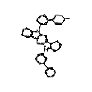 CC1C=CC(c2cccc(-n3c4ccccc4c4cc5c(cc43)c3ccccc3n5-c3cccc(-c4ccccc4)c3)c2)=CC1